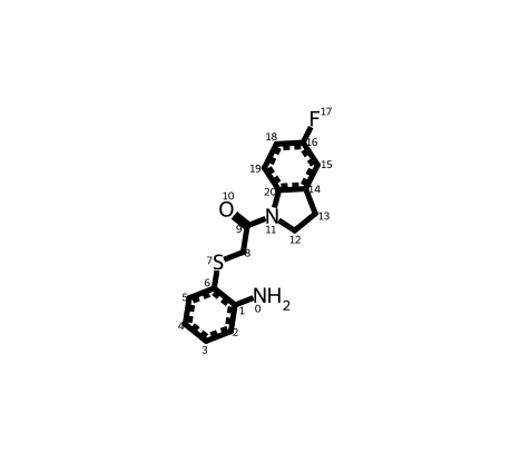 Nc1ccccc1SCC(=O)N1CCc2cc(F)ccc21